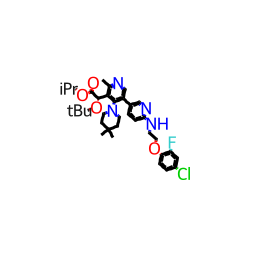 Cc1ncc(-c2ccc(NCCOc3ccc(Cl)cc3F)nc2)c(N2CCC(C)(C)CC2)c1[C@H](OC(C)(C)C)C(=O)OC(C)C